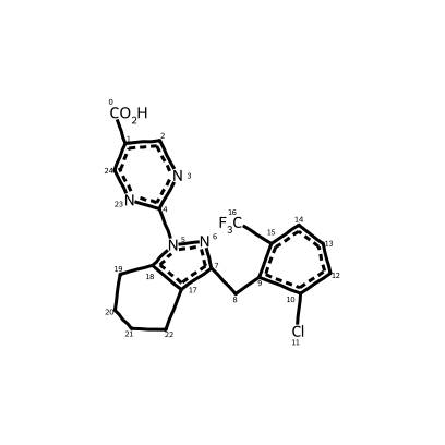 O=C(O)c1cnc(-n2nc(Cc3c(Cl)cccc3C(F)(F)F)c3c2CCCC3)nc1